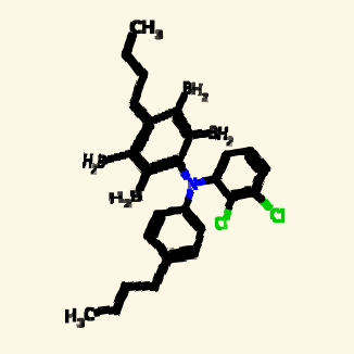 Bc1c(B)c(N(c2ccc(CCCC)cc2)c2cccc(Cl)c2Cl)c(B)c(B)c1CCCC